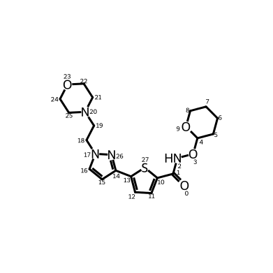 O=C(NOC1CCCCO1)c1ccc(-c2ccn(CCN3CCOCC3)n2)s1